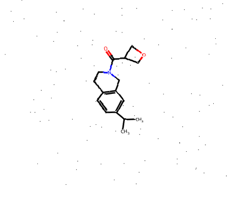 CC(C)c1ccc2c(c1)CN(C(=O)C1COC1)CC2